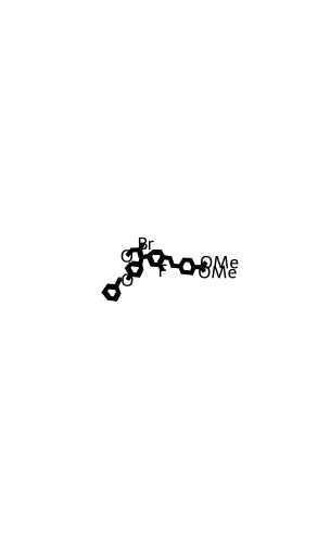 COC(OC)C1CCC(CCc2ccc(C3=C(Br)COc4cc(OCc5ccccc5)ccc43)cc2F)CC1